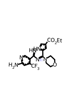 CCOC(=O)c1c[nH]c(/C(=N\C(=N)c2cnc(N)cc2C(F)(F)F)N2CCOCC2)c1